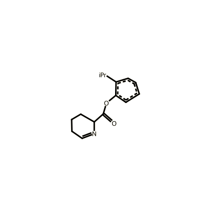 CC(C)c1ccccc1OC(=O)C1CCCC=N1